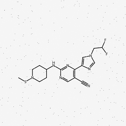 CSN1CCC(Nc2ncc(C#N)c(-c3cn(CC(F)F)cn3)n2)CC1